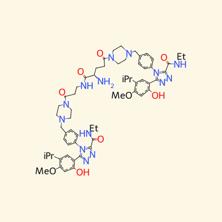 CCNC(=O)c1nnc(-c2cc(C(C)C)c(OC)cc2O)n1-c1ccc(CN2CCN(C(=O)CCNC(=O)[C@H](N)CCC(=O)N3CCN(Cc4ccc(-n5c(C(=O)NCC)nnc5-c5cc(C(C)C)c(OC)cc5O)cc4)CC3)CC2)cc1